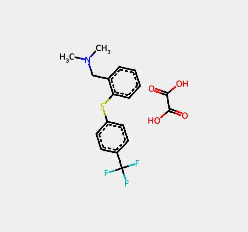 CN(C)Cc1ccccc1Sc1ccc(C(F)(F)F)cc1.O=C(O)C(=O)O